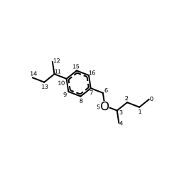 CCCC(C)OCc1ccc(C(C)CC)cc1